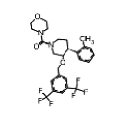 Cc1ccccc1[C@@H]1CCN(C(=O)N2CCOCC2)C[C@@H]1OCc1cc(C(F)(F)F)cc(C(F)(F)F)c1